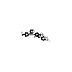 C=C1CCC(N2Cc3c(ccc(C[C@H]4OCCC[C@@H]4NC4CCC(C(F)F)CC4)c3F)C2=O)C(=O)N1